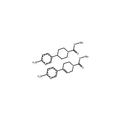 CC(C)(C)OC(=O)N1CC=C(c2ccc(N)nc2)CC1.CC(C)(C)OC(=O)N1CCC(c2ccc(N)nc2)CC1